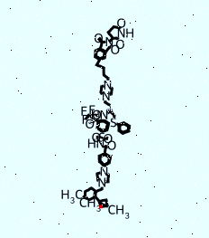 CC1(C)CCC(CN2CCN(c3ccc(C(=O)NS(=O)(=O)c4ccc(N[C@H](CCN5CCN(CCCCc6ccc7c(c6)C(=O)N(C6CCC(=O)NC6=O)C7=O)CC5)CSc5ccccc5)c(S(=O)(=O)C(F)(F)F)c4)cc3)CC2)=C(C23CC(C)(C2)C3)C1